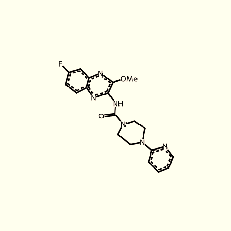 COc1nc2cc(F)ccc2nc1NC(=O)N1CCN(c2ccccn2)CC1